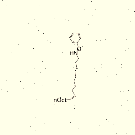 CCCCCCCC/C=C\CCCCCCCCNOc1ccccc1